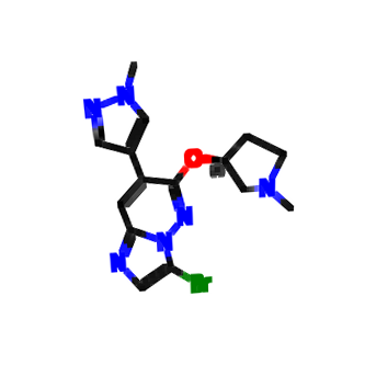 CN1CC[C@H](Oc2nn3c(Br)cnc3cc2-c2cnn(C)c2)C1